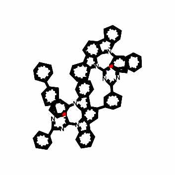 c1ccc(-c2ccc(-c3nc(-c4ccccc4)nc(-n4c5ccccc5c5cc(-c6cccc(-c7nc(-c8ccccc8)nc(-n8c9ccccc9c9ccc%10c%11ccccc%11n(-c%11ccccc%11)c%10c98)n7)c6)c6c7ccccc7n(-c7ccccc7)c6c54)n3)cc2)cc1